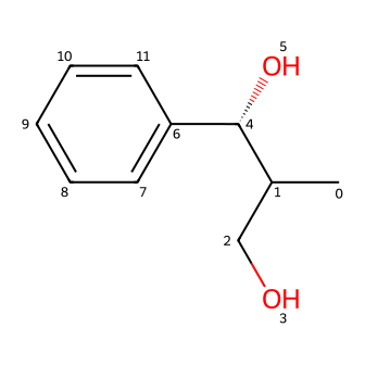 CC(CO)[C@@H](O)c1ccccc1